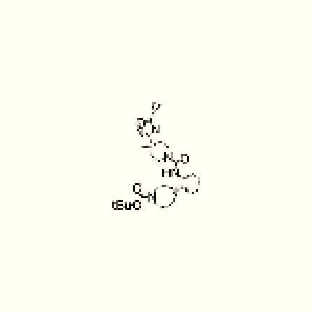 CC(C)(C)OC(=O)N1CCCN(c2ccccc2NC(=O)N2CCC(C)(c3noc(C4CC4)n3)CC2)CC1